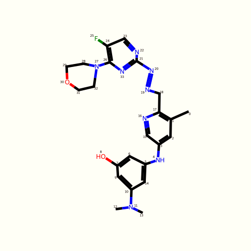 Cc1cc(Nc2cc(O)cc(N(C)C)c2)cnc1C/N=N/c1ncc(F)c(N2CCOCC2)n1